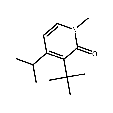 CC(C)c1ccn(C)c(=O)c1C(C)(C)C